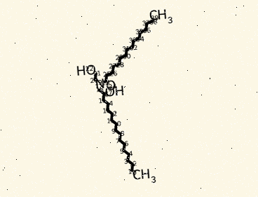 CCCCCCCCCCCCCCCCC(O)CN(CCO)C(=O)CCCCCCCCCCCCCCC